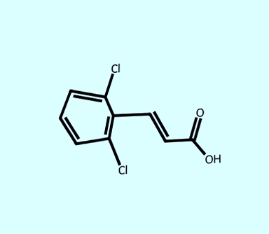 O=C(O)/C=C/c1c(Cl)cccc1Cl